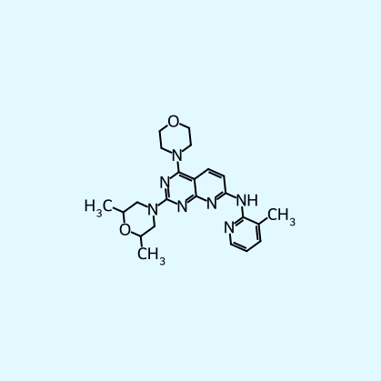 Cc1cccnc1Nc1ccc2c(N3CCOCC3)nc(N3CC(C)OC(C)C3)nc2n1